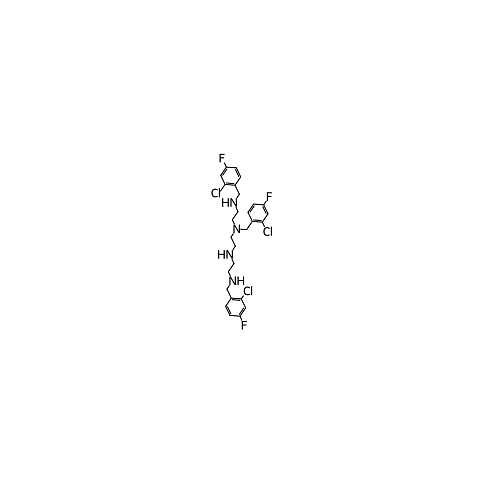 Fc1ccc(CNCCNCCN(CCNCc2ccc(F)cc2Cl)Cc2ccc(F)cc2Cl)c(Cl)c1